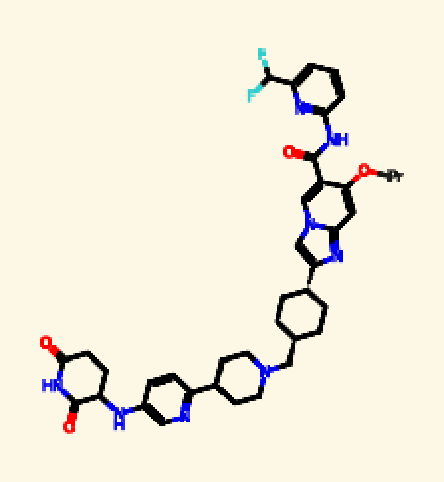 CC(C)Oc1cc2nc([C@H]3CC[C@H](CN4CCC(c5ccc(NC6CCC(=O)NC6=O)cn5)CC4)CC3)cn2cc1C(=O)Nc1cccc(C(F)F)n1